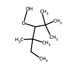 CCC(C)(C)C(OO)C(C)(C)C